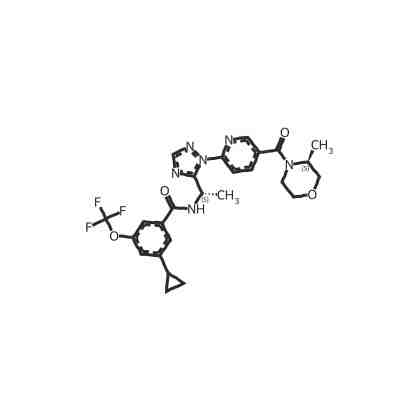 C[C@H](NC(=O)c1cc(OC(F)(F)F)cc(C2CC2)c1)c1ncnn1-c1ccc(C(=O)N2CCOC[C@@H]2C)cn1